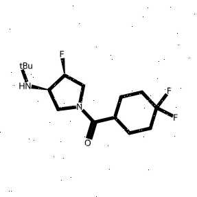 CC(C)(C)N[C@@H]1CN(C(=O)C2CCC(F)(F)CC2)C[C@@H]1F